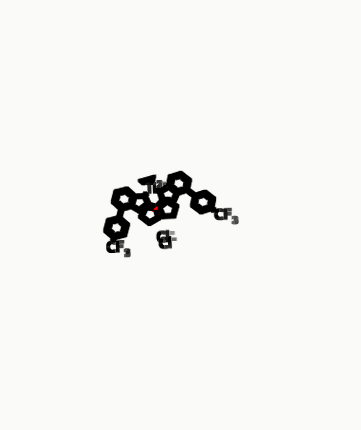 FC(F)(F)c1ccc(-c2cccc3c2C=C(C2CCCC2)[CH]3[Ti+2]2([CH]3C(C4CCCC4)=Cc4c(-c5ccc(C(F)(F)F)cc5)cccc43)[CH2][CH2]2)cc1.[Cl-].[Cl-]